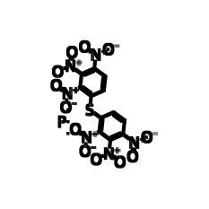 O=[N+]([O-])c1ccc(Sc2ccc([N+](=O)[O-])c([N+](=O)[O-])c2[N+](=O)[O-])c([N+](=O)[O-])c1[N+](=O)[O-].[P]